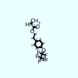 CNC(=O)OCCc1ccc(OC(F)(F)C(F)(F)Br)cc1